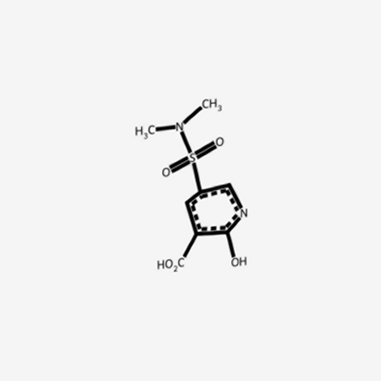 CN(C)S(=O)(=O)c1cnc(O)c(C(=O)O)c1